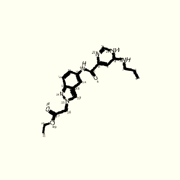 CCCNC1C=C(C(=O)Nc2ccc3nn(CC(=O)OCC)cc3c2)N=CN1